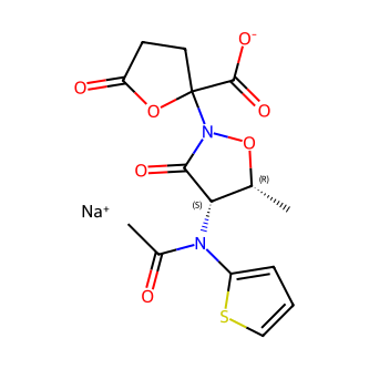 CC(=O)N(c1cccs1)[C@@H]1C(=O)N(C2(C(=O)[O-])CCC(=O)O2)O[C@@H]1C.[Na+]